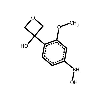 COc1cc(BO)ccc1C1(O)COC1